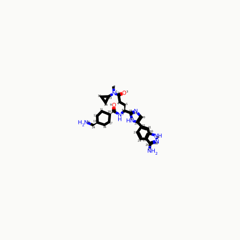 CN(C(=O)CC[C@H](NC(=O)[C@H]1CC[C@H](CN)CC1)c1ncc(-c2ccc3c(N)n[nH]c3c2)[nH]1)C1CC1